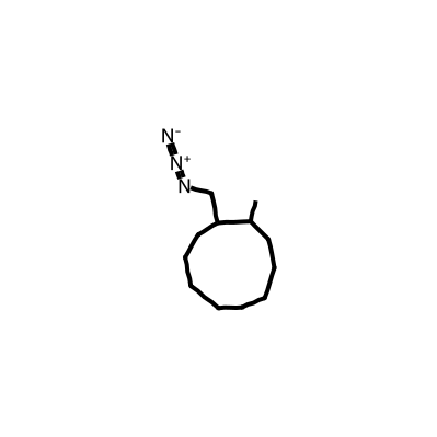 CC1CCCCCCCCC1CN=[N+]=[N-]